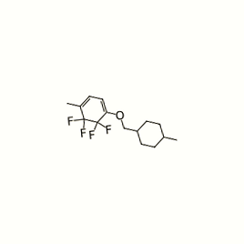 CC1=CC=C(OCC2CCC(C)CC2)C(F)(F)C1(F)F